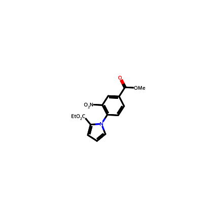 CCOC(=O)c1cccn1-c1ccc(C(=O)OC)cc1[N+](=O)[O-]